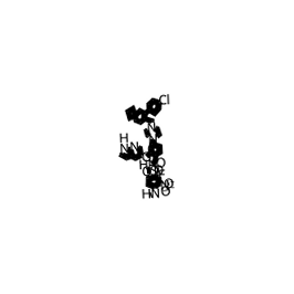 CNc1ccc(S(=O)(=O)NC(=O)c2ccc(N3CCN(CC4=C(c5ccc(Cl)cc5)CC5(CCC5)CC4)CC3)cc2Oc2cnc3[nH]ccc3c2)c(F)c1[N+](=O)[O-]